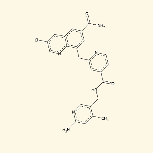 Cc1cc(N)ncc1CNC(=O)c1ccnc(Cc2cc(C(N)=O)cc3cc(Cl)cnc23)c1